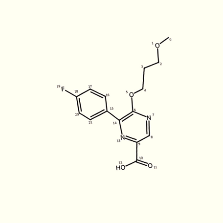 COCCCOc1ncc(C(=O)O)nc1-c1ccc(F)cc1